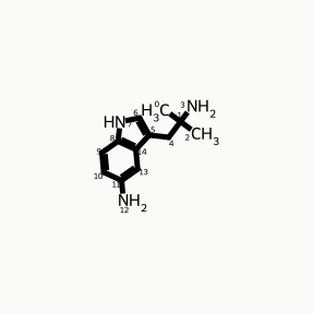 CC(C)(N)Cc1c[nH]c2ccc(N)cc12